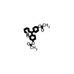 CC(=O)Oc1ccc(C(c2ccc(OC(C)=O)cc2)c2cccc[n+]2[O-])cc1